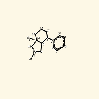 CN1CC2C(c3ccccc3)CCC[C@@H]2C1